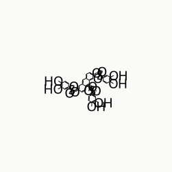 O=S(=O)(Oc1ccc2c(OS(=O)(=O)c3ccc(O)c(O)c3)c3cc(OS(=O)(=O)c4ccc(O)c(O)c4)ccc3cc2c1)c1ccc(O)c(O)c1